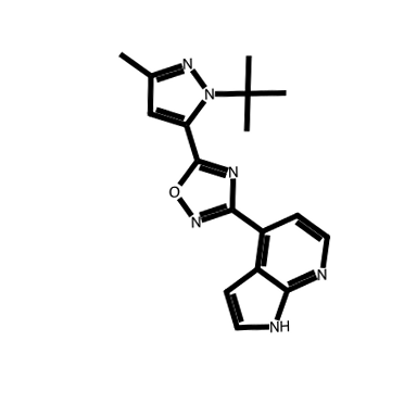 Cc1cc(-c2nc(-c3ccnc4[nH]ccc34)no2)n(C(C)(C)C)n1